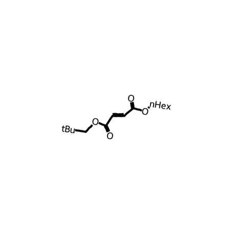 CCCCCCOC(=O)/C=C/C(=O)OCC(C)(C)C